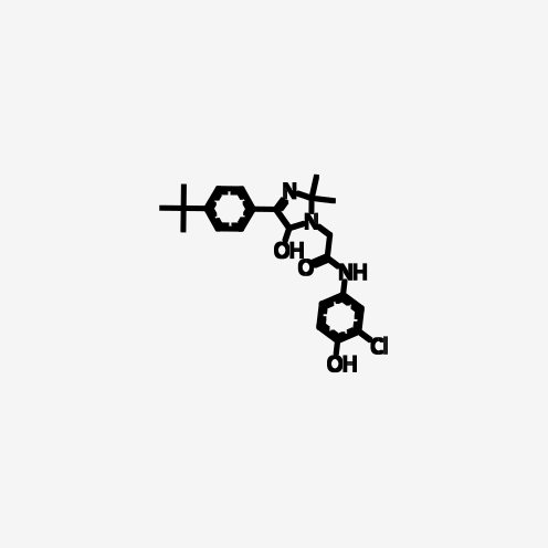 CC(C)(C)c1ccc(C2=NC(C)(C)N(CC(=O)Nc3ccc(O)c(Cl)c3)C2O)cc1